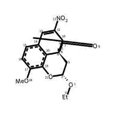 CCO[C@H]1C[C@]23C=CC(=O)CC2C([N+](=O)[O-])=Cc2ccc(OC)c(c23)O1